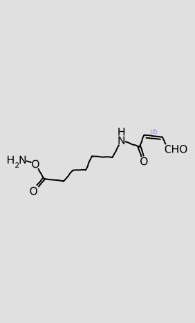 NOC(=O)CCCCCNC(=O)/C=C\C=O